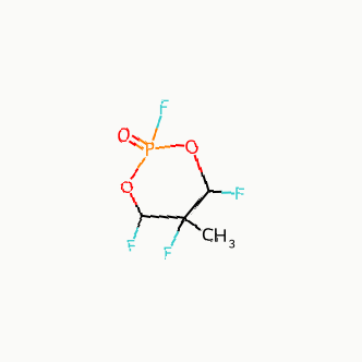 CC1(F)C(F)OP(=O)(F)OC1F